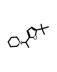 CC(c1ccc(C(C)(C)C)o1)N1CCCCC1